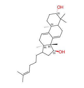 CC(C)=CCCCC1C[C@H](O)[C@@]2(C)C3=CCC4C(C)(C)[C@@H](O)CC[C@]4(C)C3=CC[C@]12C